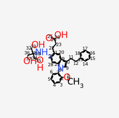 COc1ccccc1-n1cc(CCc2ccccc2)c2cc(CCC(=O)O)ccc21.NC(CO)(CO)CO